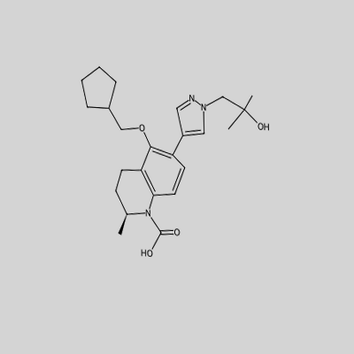 C[C@H]1CCc2c(ccc(-c3cnn(CC(C)(C)O)c3)c2OCC2CCCC2)N1C(=O)O